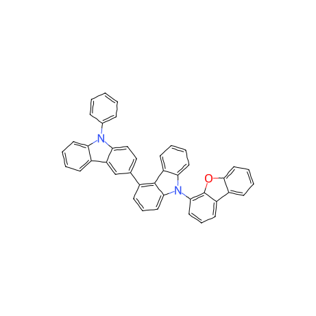 c1ccc(-n2c3ccccc3c3cc(-c4cccc5c4c4ccccc4n5-c4cccc5c4oc4ccccc45)ccc32)cc1